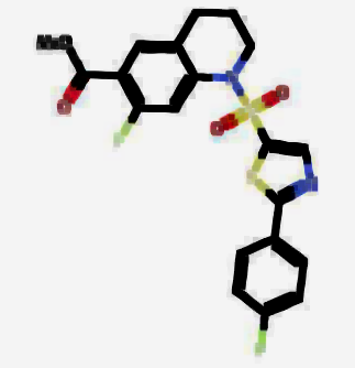 COC(=O)c1cc2c(cc1F)N(S(=O)(=O)c1cnc(-c3ccc(F)cc3)s1)CCC2